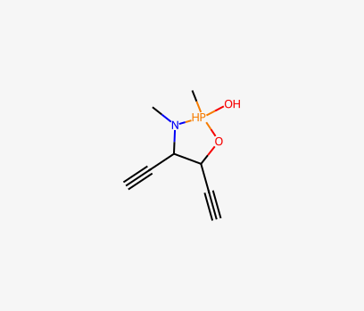 C#CC1O[PH](C)(O)N(C)C1C#C